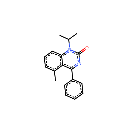 Cc1cccc2c1c(-c1ccccc1)nc(=O)n2C(C)C